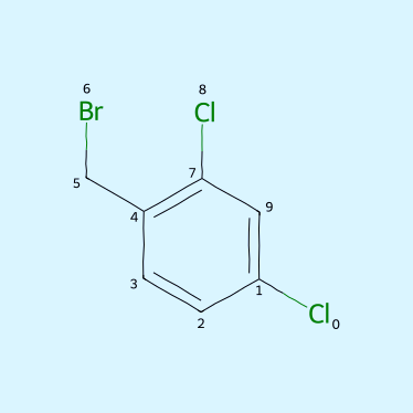 Clc1ccc(CBr)c(Cl)c1